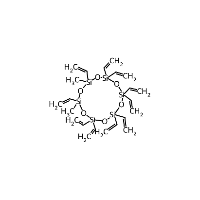 C=C[Si]1(C)O[Si](C)(C=C)O[Si](C=C)(C=C)O[Si](C=C)(C=C)O[Si](C=C)(C=C)O[Si](C=C)(C=C)O1